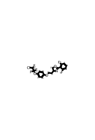 Fc1cccc(F)c1C1=NC(CCOc2ccc(OC(F)(F)C(F)Cl)cc2)CO1